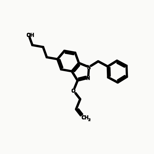 C=CCOc1nn(Cc2ccccc2)c2ccc(CCCO)cc12